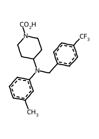 Cc1cccc(N(Cc2ccc(C(F)(F)F)cc2)C2CCN(C(=O)O)CC2)c1